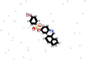 O=S(=O)(Oc1ccc(/N=C\c2cccc3ccccc23)cc1)c1ccc(Br)cc1